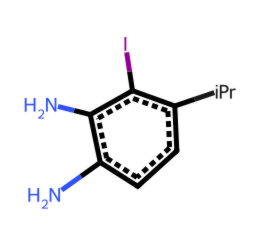 CC(C)c1ccc(N)c(N)c1I